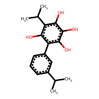 CC(C)c1cccc(-c2c(O)c(O)c(O)c(C(C)C)c2O)c1